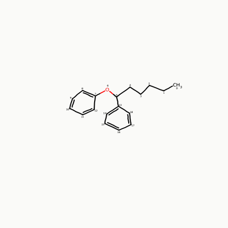 CCCCC[C](Oc1ccccc1)c1ccccc1